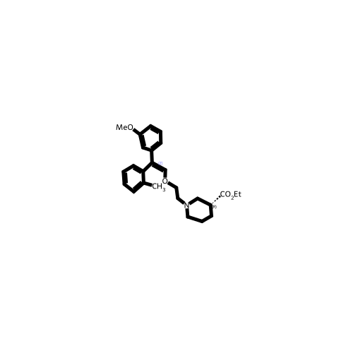 CCOC(=O)[C@@H]1CCCN(CCO/C=C(/c2cccc(OC)c2)c2ccccc2C)C1